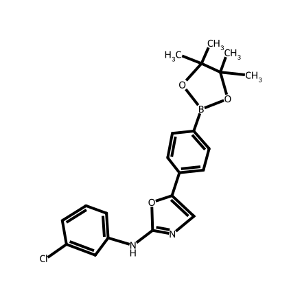 CC1(C)OB(c2ccc(-c3cnc(Nc4cccc(Cl)c4)o3)cc2)OC1(C)C